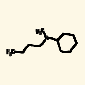 CN(CCCC(F)(F)F)C1CCCCC1